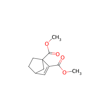 COC(=O)C1=CC2CCC1(C(=O)OC)C2